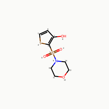 O=S(=O)(c1sccc1O)N1CCOCC1